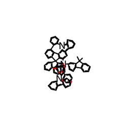 CC1(C)c2ccccc2-c2ccc(N(c3cccc(-n4c5ccccc5c5ccccc54)c3)c3cc4c5ccccc5n5c4c4c3C(c3ccc(-c6ccccc6)cc3)(c3ccccc3-c3ccccc3)c3cccc(c3-4)-c3ccccc3-5)cc21